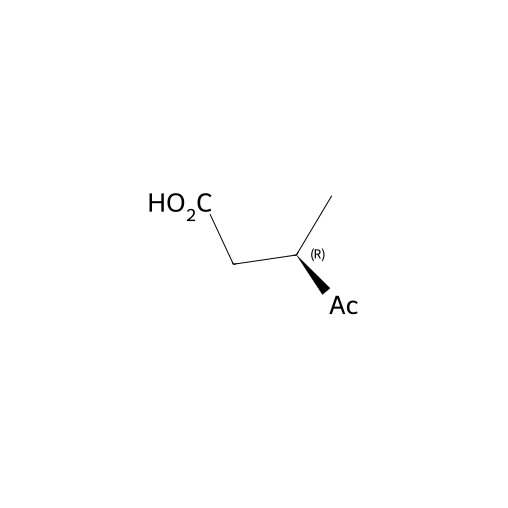 CC(=O)[C@H](C)CC(=O)O